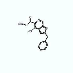 CCCCOC(=O)c1ncc2sc(Sc3ccccc3)cc2c1O